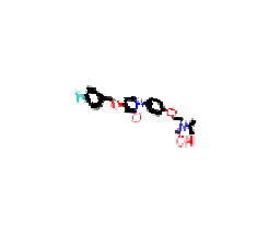 CC(C)N(CO)CCOc1ccc(-n2ccc(OCc3ccc(F)cc3)cc2=O)cc1